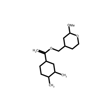 C=C(OCC1CCOC(OC)C1)C1CCC(C)C(C)C1